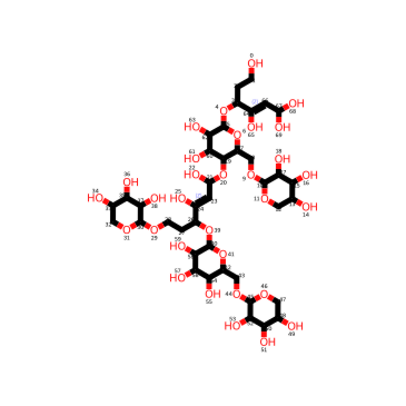 OCCC(OC1OC(COC2OCC(O)C(O)C2O)C(OC(O)/C=C(\O)C(CCOC2OCC(O)C(O)C2O)OC2OC(COC3OCC(O)C(O)C3O)C(O)C(O)C2O)C(O)C1O)/C(O)=C/C(O)O